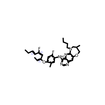 C\C=C(/C=C(F)\C=C\CC)Oc1cc(F)c(Nc2ncnc3cc4c(nc23)N(CCCC)CC(C)CO4)cc1C